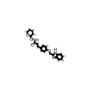 O=C(/C=C/c1ccc(OCc2nc3ccccc3[nH]2)cc1)NOC1CCCCO1